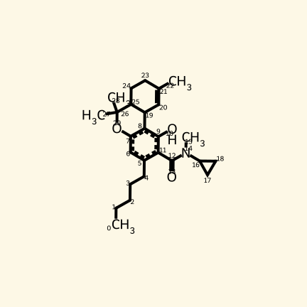 CCCCCc1cc2c(c(O)c1C(=O)N(C)C1CC1)C1C=C(C)CCC1C(C)(C)O2